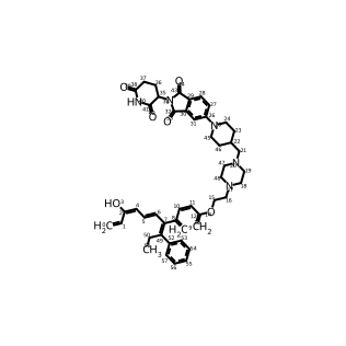 C=C\C(O)=C/C=C/C(C(=C)/C=C\C(=C)OCCN1CCN(CC2CCN(c3ccc4c(c3)C(=O)N(C3CCC(=O)NC3=O)C4=O)CC2)CC1)=C(\CC)c1ccccc1